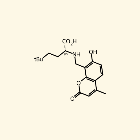 Cc1cc(=O)oc2c(CN[C@H](CCC(C)(C)C)C(=O)O)c(O)ccc12